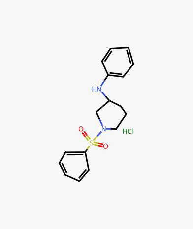 Cl.O=S(=O)(c1ccccc1)N1CCCC(Nc2ccccc2)C1